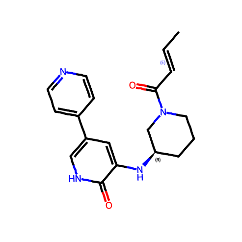 C/C=C/C(=O)N1CCC[C@@H](Nc2cc(-c3ccncc3)c[nH]c2=O)C1